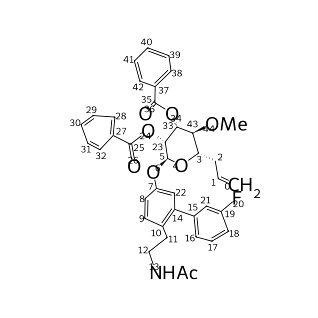 C=CC[C@@H]1O[C@@H](Oc2ccc(CCNC(C)=O)c(-c3cccc(F)c3)c2)[C@H](OC(=O)c2ccccc2)[C@H](OC(=O)c2ccccc2)[C@H]1OC